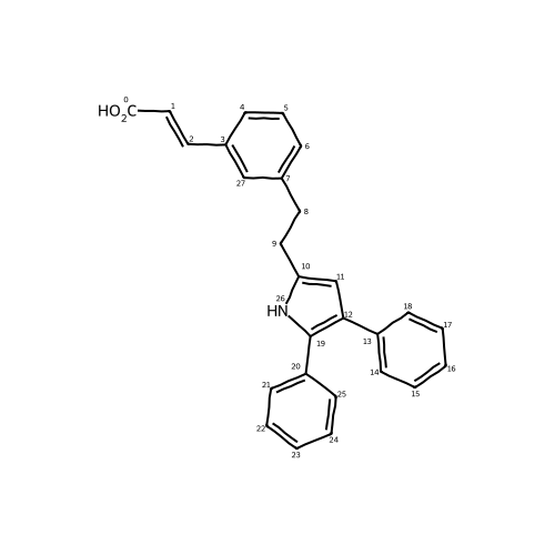 O=C(O)C=Cc1cccc(CCc2cc(-c3ccccc3)c(-c3ccccc3)[nH]2)c1